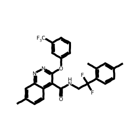 Cc1ccc(C(F)(F)CNC(=O)c2c(Oc3cccc(C(F)(F)F)c3)nnc3cc(C)ccc23)c(C)c1